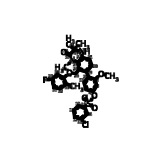 COc1cc(OS(=O)(=O)c2cccc(Cl)c2)ccc1-c1ccc2c(c1COc1cc(F)ccc1C)N(C)C(=O)C(C)(C)N2